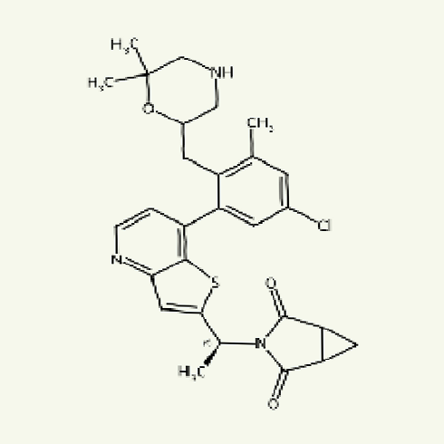 Cc1cc(Cl)cc(-c2ccnc3cc([C@H](C)N4C(=O)C5CC5C4=O)sc23)c1CC1CNCC(C)(C)O1